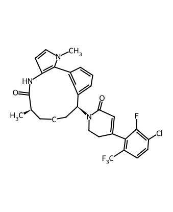 C[C@@H]1CCC[C@H](N2CCC(c3c(C(F)(F)F)ccc(Cl)c3F)=CC2=O)c2cccc(c2)-c2c(ccn2C)NC1=O